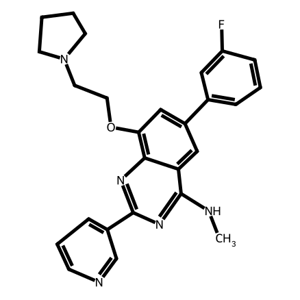 CNc1nc(-c2cccnc2)nc2c(OCCN3CCCC3)cc(-c3cccc(F)c3)cc12